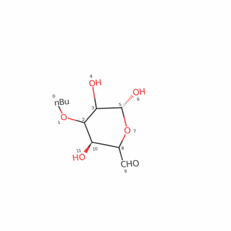 CCCCOC1C(O)[C@H](O)OC(C=O)[C@H]1O